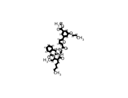 CCCCCC(C(=O)NCNC(=O)c1ccc(-c2cc(OCCC)cc(C(=O)OC)c2)o1)C(CC)N(C=O)OCc1ccccc1